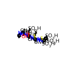 COc1cc(N=Nc2cc(OCCCS(=O)(=O)O)c(N=Nc3c(C)c(C#N)c4nc5ccccc5n4c3O)cc2C)c(SCCCS(=O)(=O)O)cc1N=Nc1nc2c(S(=O)(=O)O)cc3c(S(=O)(=O)O)cc(S(=O)(=O)O)cc3c2s1